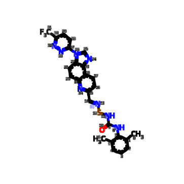 Cc1cccc(C)c1NC(=O)NS/N=C/c1ccc2c(ccc3c2ncn3-c2ccc(C(F)(F)F)nn2)n1